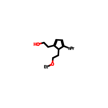 CCCC1=CC=C(CCO)C1CCOCC